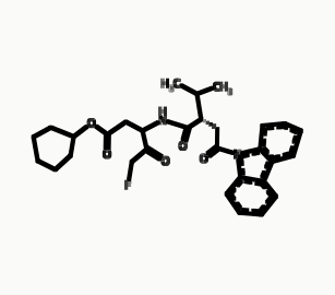 CC(C)[C@H](CC(=O)n1c2ccccc2c2ccccc21)C(=O)NC(CC(=O)OC1CCCCC1)C(=O)CF